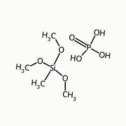 CO[Si](C)(OC)OC.O=P(O)(O)O